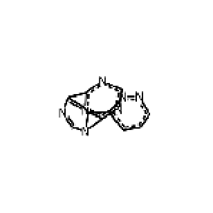 [C]1=NC2=[C]C(c3cc[c]nn3)N1c1ncnc2n1